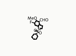 COc1c(F)cc2c(ccn2S(=O)(=O)c2ccccc2)c1C=O